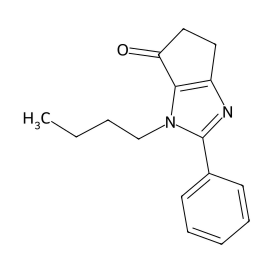 CCCCn1c(-c2ccccc2)nc2c1C(=O)CC2